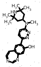 CN(c1ccc(-c2cc3c(cc2O)N=CN=C=C3)nn1)C1CC(C)(C)NC(C)(C)C1